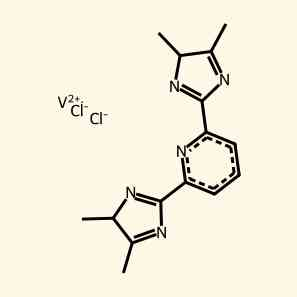 CC1=NC(c2cccc(C3=NC(C)C(C)=N3)n2)=NC1C.[Cl-].[Cl-].[V+2]